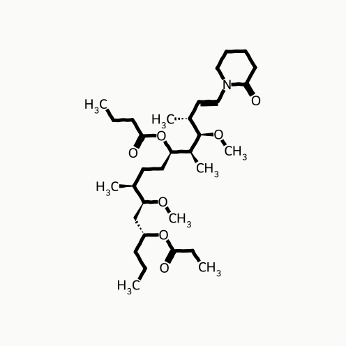 CCCC(=O)O[C@H](CC[C@H](C)[C@H](C[C@@H](CCC)OC(=O)CC)OC)[C@H](C)[C@H](OC)[C@H](C)/C=C/N1CCCCC1=O